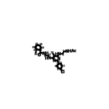 CC(=O)NCCNc1nc(-c2ccc(Cl)cc2)nc(NCCNC(=O)c2ccccc2C)c1C